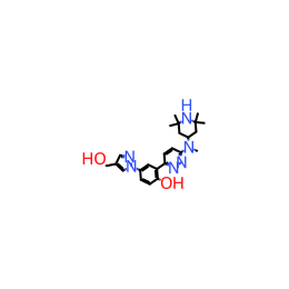 CN(c1ccc(-c2cc(-n3cc(CO)cn3)ccc2O)nn1)C1CC(C)(C)NC(C)(C)C1